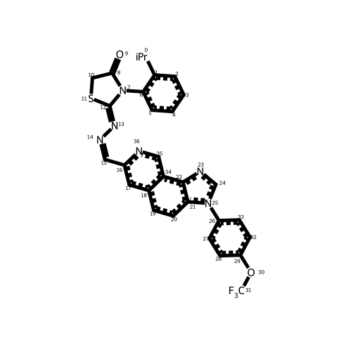 CC(C)c1ccccc1N1C(=O)CS/C1=N\N=C/c1cc2ccc3c(ncn3-c3ccc(OC(F)(F)F)cc3)c2cn1